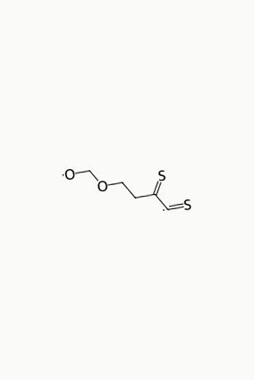 [O]COCCC(=S)[C]=S